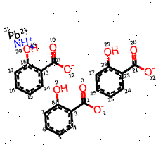 O=C([O-])c1ccccc1O.O=C([O-])c1ccccc1O.O=C([O-])c1ccccc1O.[NH4+].[Pb+2]